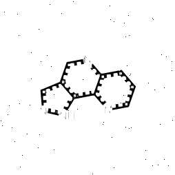 c1cnc2c(c1)ncc1cn[nH]c12